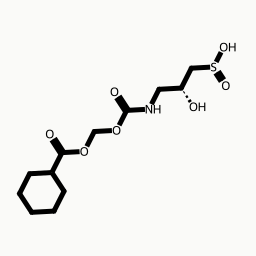 O=C(NC[C@@H](O)CS(=O)O)OCOC(=O)C1CCCCC1